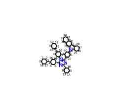 c1ccc(-c2ccc(-c3nc(-c4ccccc4)nc(-c4ccc(-n5c6ccccc6c6cc7ccccc7cc65)cc4-c4cccc(-c5ccccc5)c4)n3)cc2)cc1